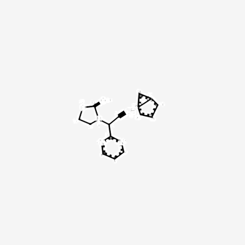 C#CC(c1ncccn1)N1CCOC1=O.c1cc2cc-2c1